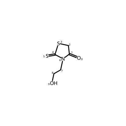 O=C1CSC(=S)N1CCO